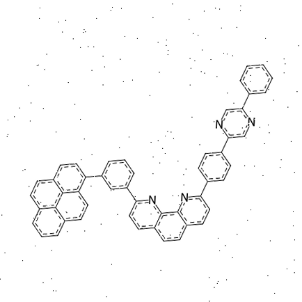 c1ccc(-c2cnc(-c3ccc(-c4ccc5ccc6ccc(-c7cccc(-c8ccc9ccc%10cccc%11ccc8c9c%10%11)c7)nc6c5n4)cc3)cn2)cc1